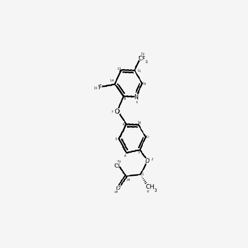 C[C@@H](Oc1ccc(Oc2ncc(C(F)(F)F)cc2F)cc1)C(=O)Cl